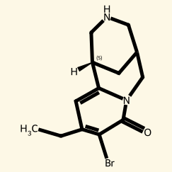 CCc1cc2n(c(=O)c1Br)CC1CNC[C@@H]2C1